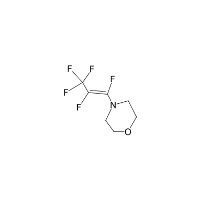 F/C(=C(/F)C(F)(F)F)N1CCOCC1